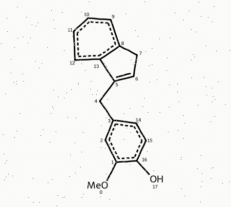 COc1cc(CC2=CCc3ccccc32)ccc1O